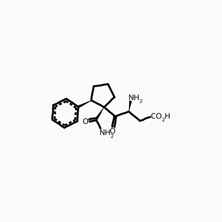 NC(=O)[C@]1(C(=O)[C@@H](N)CC(=O)O)CCC[C@@H]1c1ccccc1